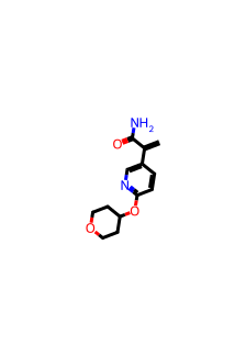 C=C(C(N)=O)c1ccc(OC2CCOCC2)nc1